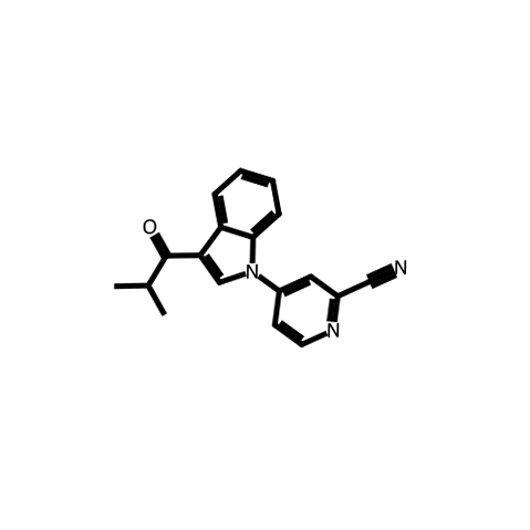 CC(C)C(=O)c1cn(-c2ccnc(C#N)c2)c2ccccc12